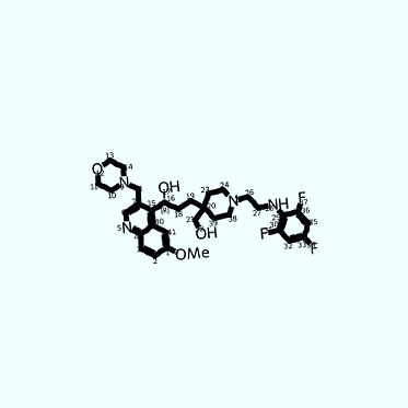 COc1ccc2ncc(CN3CCOCC3)c([C@H](O)CCC3(CO)CCN(CCNc4c(F)cc(F)cc4F)CC3)c2c1